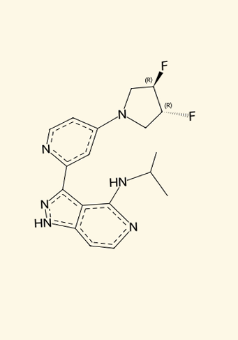 CC(C)Nc1nccc2[nH]nc(-c3cc(N4C[C@@H](F)[C@H](F)C4)ccn3)c12